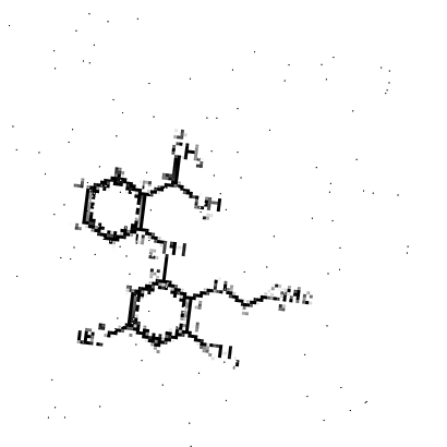 COCOc1c(C)cc(C(C)(C)C)cc1Pc1ccccc1C(C)O